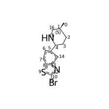 C[C@H]1CCC(c2ccc3sc(Br)nc3c2)NC1